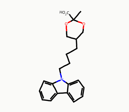 CC1(C(=O)O)OCC(CCCCn2c3ccccc3c3ccccc32)CO1